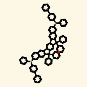 c1ccc(-c2ccc(N(c3ccccc3)c3ccc4cc5c(cc4c3)C(c3ccccc3)(c3ccccc3)c3cc4c(cc3-5)-c3cc5ccc(N(c6ccccc6)c6ccc(-c7ccccc7)cc6)cc5cc3C4(c3ccccc3)c3ccccc3)cc2)cc1